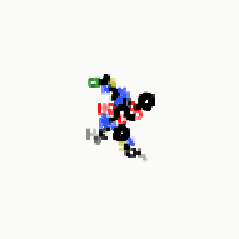 Cc1nc2ccc(-n3c(C)nnc3[C@@H]3OC4COC(c5ccccc5)O[C@@H]4C(n4cc(-c5nc(Cl)cs5)nn4)C3O)cc2s1